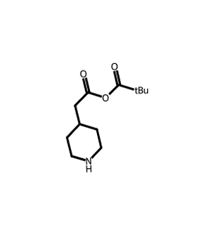 CC(C)(C)C(=O)OC(=O)CC1CCNCC1